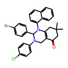 CC1(C)CC(=O)C2=C(C1)N(c1cccc3ccccc13)C(c1ccc(Br)cc1)N(c1ccc(Cl)cc1)C2